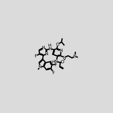 C=CC(=O)Nc1cc(Nc2ncc(F)c(-c3cn(C)c4cc(F)c(F)cc34)n2)c(OC(C)C)nc1N(C)CCN(C)C